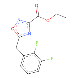 CCOC(=O)c1noc(Cc2cccc(F)c2F)n1